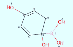 OB(O)C1(O)C=CC(O)=CC1